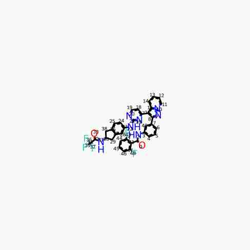 O=C(Nc1cccc(-c2nn3ccccc3c2-c2ccnc(Nc3ccc4c(c3)CC(NC(=O)C(F)(F)F)C4)n2)c1)c1c(F)cccc1F